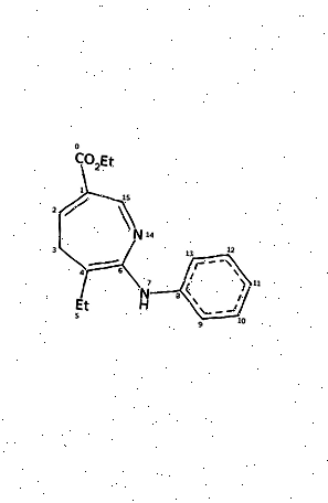 CCOC(=O)C1=CCC(CC)=C(Nc2ccccc2)N=C1